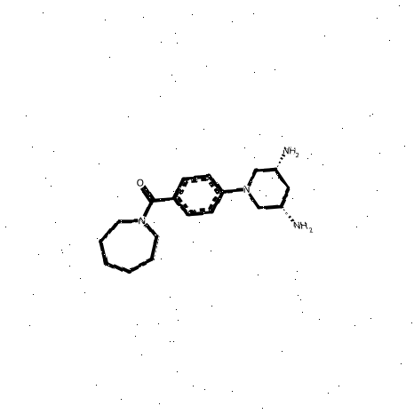 N[C@@H]1C[C@H](N)CN(c2ccc(C(=O)N3CCCCCC3)cc2)C1